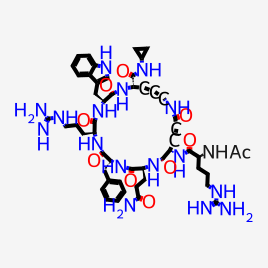 CC(=O)N[C@@H](CCCNC(=N)N)C(=O)N[C@H]1CCC(=O)NCCC[C@@H](C(=O)NC2CC2)NC(=O)[C@H](Cc2c[nH]c3ccccc23)NC(=O)[C@H](CCCNC(=N)N)NC(=O)[C@@H](Cc2ccccc2)NC(=O)[C@H](CCC(N)=O)NC1=O